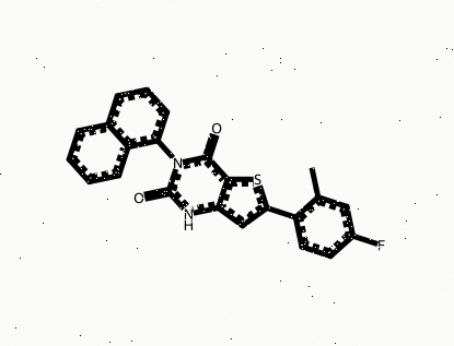 Cc1cc(F)ccc1-c1cc2[nH]c(=O)n(-c3cccc4ccccc34)c(=O)c2s1